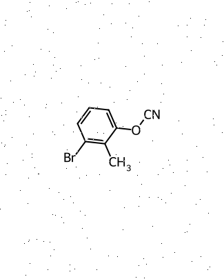 Cc1c(Br)cccc1OC#N